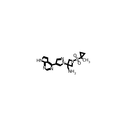 CC1(S(=O)(=O)N2CC(CN)(n3cc(-c4ncnc5[nH]ccc45)cn3)C2)CC1